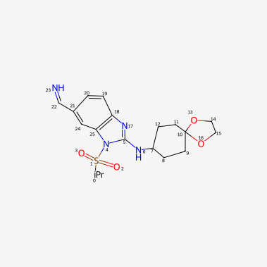 CC(C)S(=O)(=O)n1c(NC2CCC3(CC2)OCCO3)nc2ccc(C=N)cc21